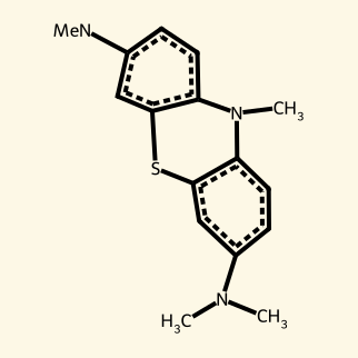 CNc1ccc2c(c1)Sc1cc(N(C)C)ccc1N2C